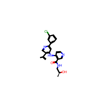 C=C(C)c1cnc(-c2cccc(Cl)c2)cc1Nc1ccncc1C(=O)NC[C@H](C)O